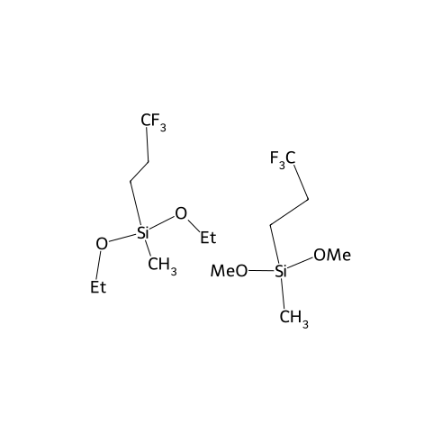 CCO[Si](C)(CCC(F)(F)F)OCC.CO[Si](C)(CCC(F)(F)F)OC